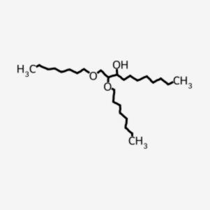 CCCCCCCCOCC(OCCCCCCCC)C(O)CCCCCCCC